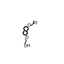 OCCCOc1ccc2ccc(OCC3CO3)cc2c1